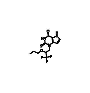 CCCOC(Cn1c(=S)[nH]c(=O)c2[nH]ccc21)C(F)(F)F